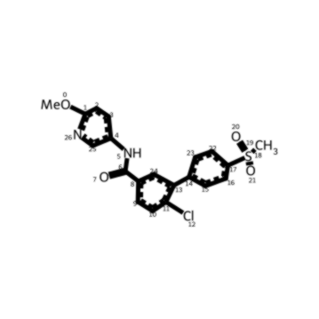 COc1ccc(NC(=O)c2ccc(Cl)c(-c3ccc(S(C)(=O)=O)cc3)c2)cn1